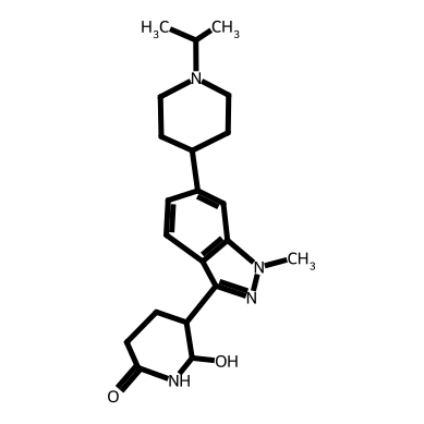 CC(C)N1CCC(c2ccc3c(C4CCC(=O)NC4O)nn(C)c3c2)CC1